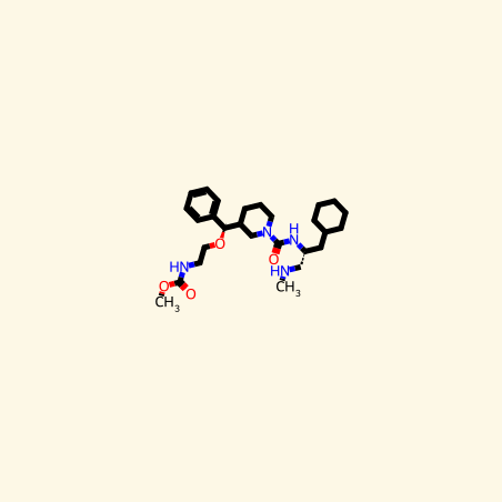 CNC[C@@H](CC1CCCCC1)NC(=O)N1CCCC([C@@H](OCCNC(=O)OC)c2ccccc2)C1